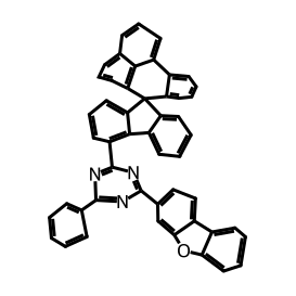 c1ccc(-c2nc(-c3ccc4c(c3)oc3ccccc34)nc(-c3cccc4c3-c3ccccc3C43c4ccccc4-c4cccc5cccc3c45)n2)cc1